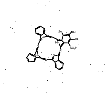 CC(C)(C)c1c(C(C)(C)C)c(S(=O)(=O)O)c2c3nc4nc(nc5[nH]c(nc6nc(nc([nH]3)c2c1C(C)(C)C)-c1ccccc1-6)c1ccccc51)-c1ccccc1-4